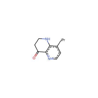 CC(C)c1ccnc2c1NCCC2=O